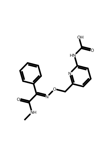 CNC(=O)/C(=N/OCc1cccc(NC(=O)O)n1)c1ccccc1